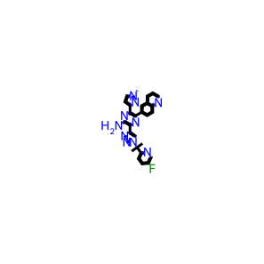 Cn1ccc(-c2nc(N)c(-c3cn(C(C)(C)c4ccc(F)cn4)nn3)nc2-c2ccc3ncccc3c2)n1